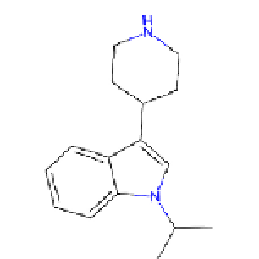 CC(C)n1cc(C2CCNCC2)c2ccccc21